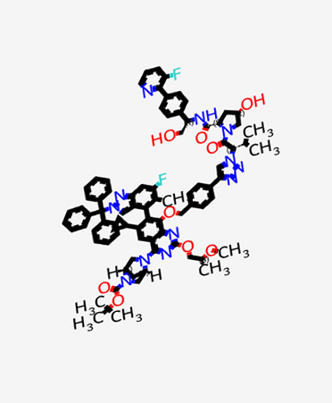 CO[C@@H](C)COc1nc(N2C[C@@H]3C[C@H]2CN3C(=O)OC(C)(C)C)c2cc(C3CC3)c(-c3c(C)c(F)cc4nn(C(c5ccccc5)(c5ccccc5)c5ccccc5)cc34)c(OCc3ccc(-c4cn([C@H](C(=O)N5C[C@H](O)C[C@H]5C(=O)N[C@@H](CO)c5ccc(-c6ncccc6F)cc5)C(C)C)nn4)cc3)c2n1